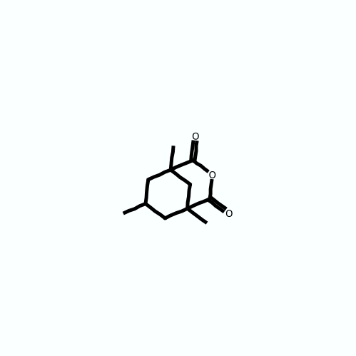 CC1CC2(C)CC(C)(C1)C(=O)OC2=O